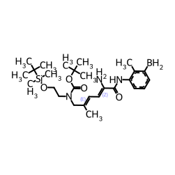 Bc1cccc(NC(=O)/C(N)=C/C=C(\C)CN(CCO[Si](C)(C)C(C)(C)C)C(=O)OC(C)(C)C)c1C